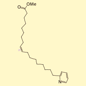 COC(=O)CCCCCCC/C=C\CCCCCCCCc1ccccn1